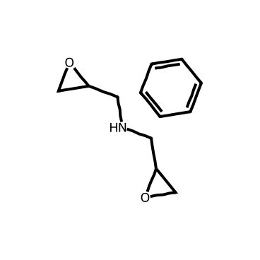 C(NCC1CO1)C1CO1.c1ccccc1